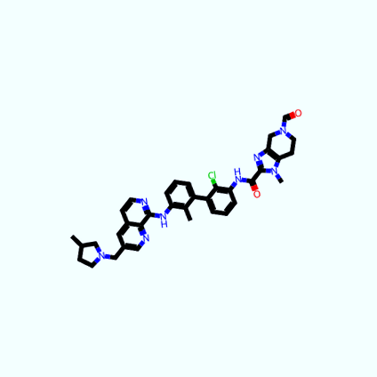 Cc1c(Nc2nccc3cc(CN4CCC(C)C4)cnc23)cccc1-c1cccc(NC(=O)c2nc3c(n2C)CCN(C=O)C3)c1Cl